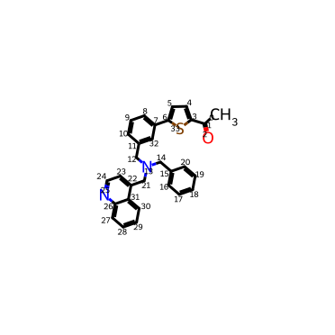 CC(=O)c1ccc(-c2cccc(CN(Cc3ccccc3)Cc3ccnc4ccccc34)c2)s1